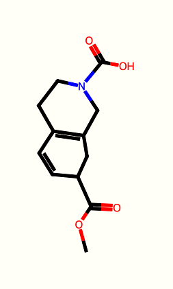 COC(=O)C1C=CC2=C(C1)CN(C(=O)O)CC2